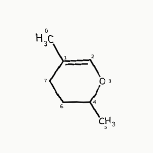 CC1=COC(C)CC1